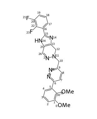 COc1cccc(-c2ccc(CN3Cc4nc(-c5cccc(F)c5F)[nH]c4C=N3)nn2)c1OC